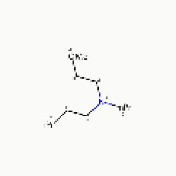 CCCN(CCOC)CCC(C)C